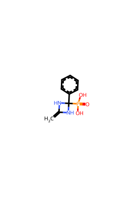 C=C1NC(c2ccccc2)(P(=O)(O)O)N1